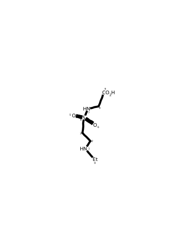 CCNCCS(=O)(=O)NCC(=O)O